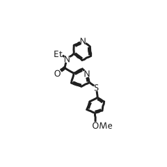 CCN(C(=O)c1ccc(Sc2ccc(OC)cc2)nc1)c1cccnc1